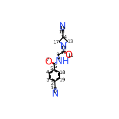 N#Cc1ccc(C(=O)NCC(=O)N2CC(C#N)C2)cc1